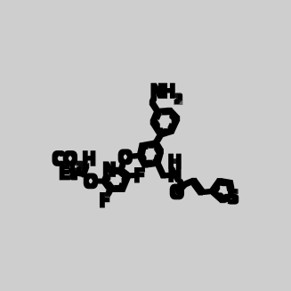 CCC(Oc1nc(Oc2cc(CNC(=O)C=Cc3ccsc3)cc(-c3cccc(CN)c3)c2)c(F)cc1F)C(=O)O